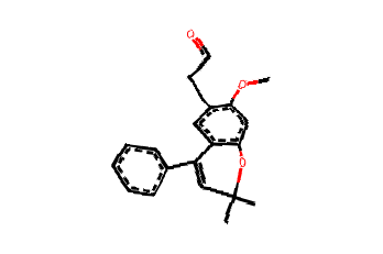 COc1cc2c(cc1CC=O)C(c1ccccc1)=CC(C)(C)O2